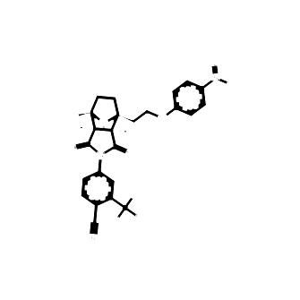 C[C@@]12CC[C@@](CCOc3ccc([N+](=O)[O-])cc3)(O1)[C@H]1C(=O)N(c3ccc(C#N)c(C(F)(F)F)c3)C(=O)[C@H]12